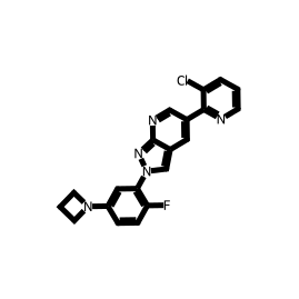 Fc1ccc(N2CCC2)cc1-n1cc2cc(-c3ncccc3Cl)cnc2n1